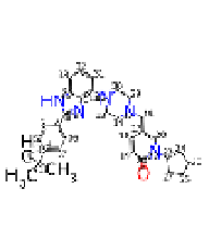 CC(C)(C)c1ccc(-c2nc3c(N4CCN(Cc5ccc(=O)n(C6CCCC6)c5)CC4)cccc3[nH]2)cc1